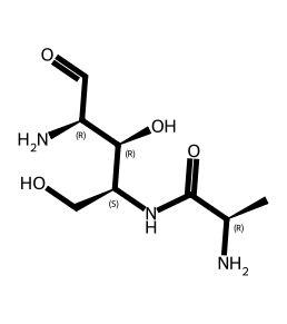 C[C@@H](N)C(=O)N[C@@H](CO)[C@H](O)[C@@H](N)C=O